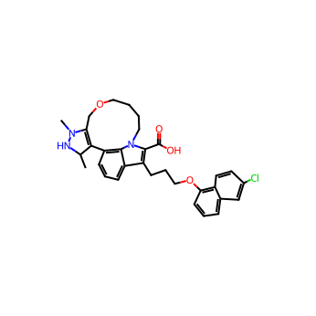 CC1NN(C)C2=C1c1cccc3c(CCCOc4cccc5cc(Cl)ccc45)c(C(=O)O)n(c13)CCCCOC2